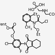 CCCCCOC(=O)COc1cc(N2C(=O)C3=C(CCCC3)C2=O)c(F)cc1Cl.CCOCN(C(=O)CCl)c1c(C)cccc1CC.O=C(O)CNCP(=O)(O)O